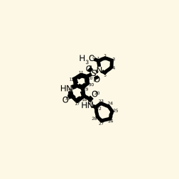 CC1CCCCN1S(=O)(=O)c1ccc2[nH]c(=O)cc(C(=O)NC3CCCCCC3)c2c1